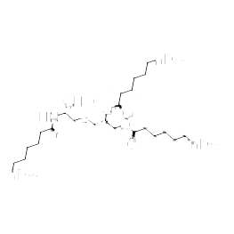 CCCCCCCCCCCCCCCC(=O)N[C@H](C=O)CSC[C@H](COC(=O)CCCCCCCCCCCCCCC)OC(=O)CCCCCCCCCCCCCCC